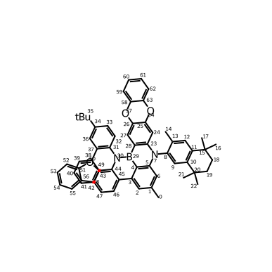 Cc1cc2c3c(c1)N(c1cc4c(cc1C)C(C)(C)CCC4(C)C)c1cc4c(cc1B3N(c1ccc(C(C)(C)C)cc1-c1ccccc1)c1c-2ccc2c1oc1ccccc12)Oc1ccccc1O4